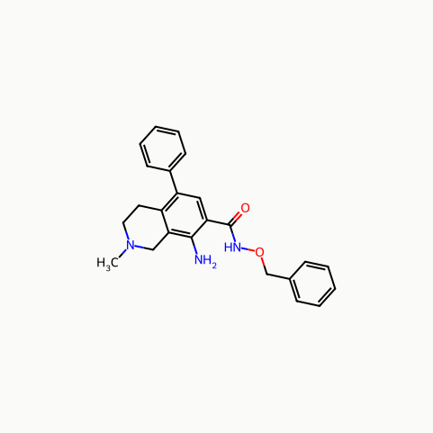 CN1CCc2c(-c3ccccc3)cc(C(=O)NOCc3ccccc3)c(N)c2C1